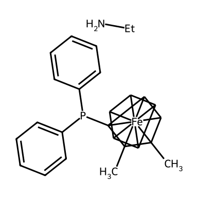 CCN.C[C]12[CH]3[CH]4[C]5(P(c6ccccc6)c6ccccc6)[C]1(C)[Fe]34251678[CH]2[CH]1[CH]6[CH]7[CH]28